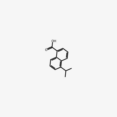 CC(C)c1cccc2c(C(=O)O)cccc12